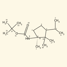 CC(C)C1CC[C@](C)(NC(=O)OC(C)(C)C)C1(C)C